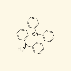 P.c1cc[c]([Sn][c]2ccccc2)cc1.c1ccc([P]c2ccccc2)cc1